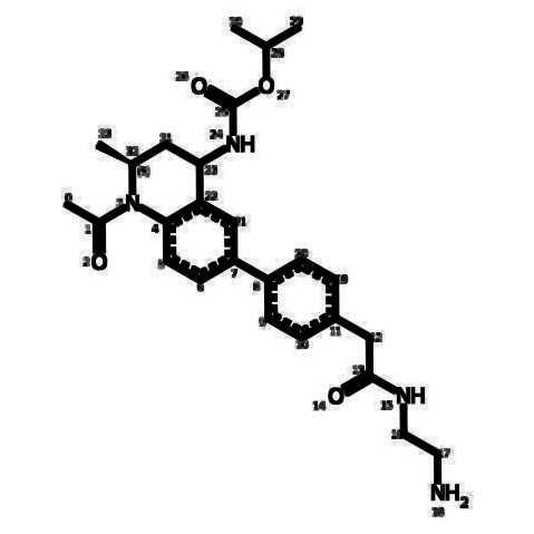 CC(=O)N1c2ccc(-c3ccc(CC(=O)NCCN)cc3)cc2C(NC(=O)OC(C)C)C[C@@H]1C